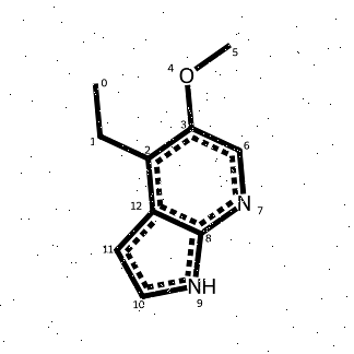 CCc1c(OC)cnc2[nH]ccc12